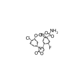 COc1cc(-n2c(-c3cc(F)c(S(N)(=O)=O)cc3F)coc2=O)ccc1Cl